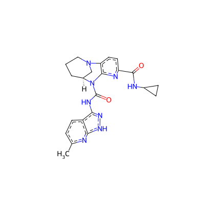 Cc1ccc2c(NC(=O)N3c4nc(C(=O)NC5CC5)ccc4N4CCC[C@H]3C4)n[nH]c2n1